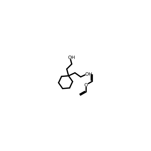 C=COC=C.OCCC1(CCO)CCCCC1